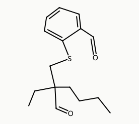 CCCCC(C=O)(CC)CSc1ccccc1C=O